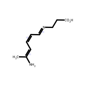 C\C(N)=C/C=C\C=N\CCC(=O)O